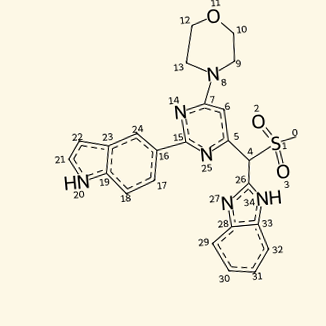 CS(=O)(=O)C(c1cc(N2CCOCC2)nc(-c2ccc3[nH]ccc3c2)n1)c1nc2ccccc2[nH]1